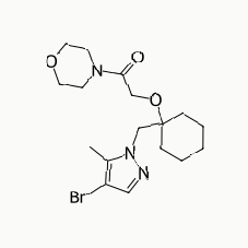 Cc1c(Br)cnn1CC1(OCC(=O)N2CCOCC2)CCCCC1